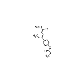 C=CC(=O)Oc1ccc(/C(C=C)=C/C=C(\CC)OC)cc1